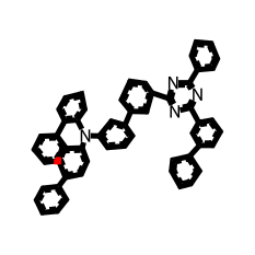 c1ccc(-c2ccc(N(c3cccc(-c4cccc(-c5nc(-c6ccccc6)nc(-c6cccc(-c7ccccc7)c6)n5)c4)c3)c3ccccc3-c3ccccc3)cc2)cc1